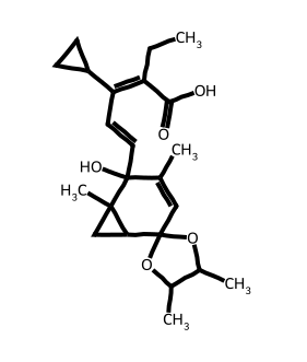 CCC(C(=O)O)=C(C=CC1(O)C(C)=CC2(OC(C)C(C)O2)C2CC21C)C1CC1